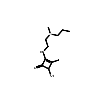 CCCN(C)CCNC1=C(C)C(S)C1=O